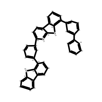 c1ccc(-c2cccc(-c3cccc4c3sc3nc(-c5cccc(-c6cccc7c6sc6ccccc67)c5)ccc34)c2)cc1